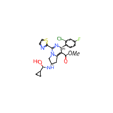 COC(=O)C1=C2C[C@H](NC(O)C3CC3)CN2C(c2nccs2)=N[C@H]1c1ccc(F)cc1Cl